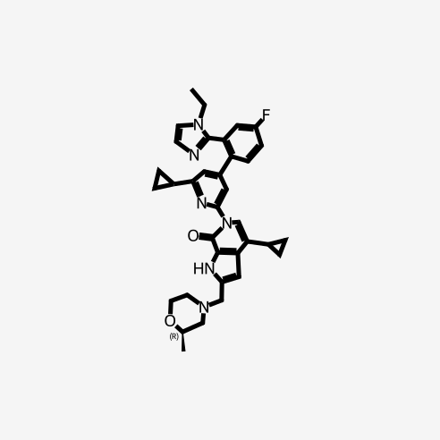 CCn1ccnc1-c1cc(F)ccc1-c1cc(C2CC2)nc(-n2cc(C3CC3)c3cc(CN4CCO[C@H](C)C4)[nH]c3c2=O)c1